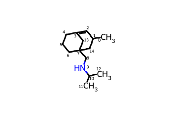 CC1C=C2CCCC(CNC(C)C)(C2)C1